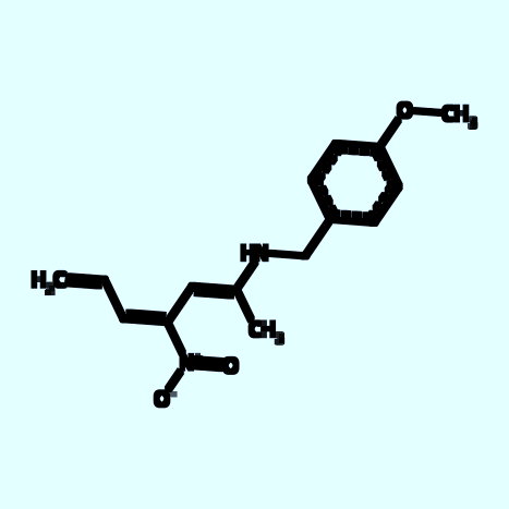 C=C/C=C(\C=C(/C)NCc1ccc(OC)cc1)[N+](=O)[O-]